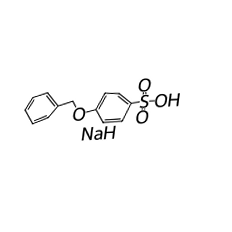 O=S(=O)(O)c1ccc(OCc2ccccc2)cc1.[NaH]